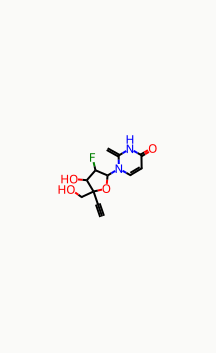 C#CC1(CO)OC(N2C=CC(=O)NC2=C)C(F)C1O